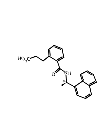 C[C@@H](NC(=O)c1ccccc1CCC(=O)O)c1cccc2ccccc12